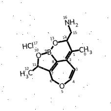 CC1=C2C=COCC3=C2B(OC3C)OC1CN.Cl